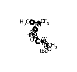 Cc1ccc(-c2cc(C(F)(F)F)nn2-c2ccc(S(=O)(=O)NC(=O)OC3CCCN([N+]([O-])=NOC(C)OC(=O)C(C)(C)C)C3)cc2)cc1